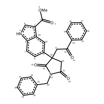 COC(=O)c1c[nH]c2ccc(C3(CC(=O)c4ccccc4)CC(=O)N(Cc4ccccc4)C3=O)cc12